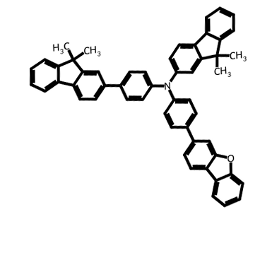 CC1(C)c2ccccc2-c2ccc(-c3ccc(N(c4ccc(-c5ccc6c(c5)oc5ccccc56)cc4)c4ccc5c(c4)C(C)(C)c4ccccc4-5)cc3)cc21